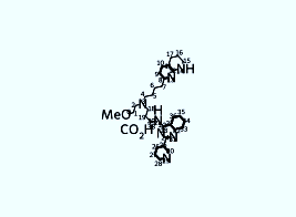 COCCN(CCCCc1ccc2c(n1)NCCC2)CCC(Nc1nc(-c2cccnc2)nc2ccccc12)C(=O)O